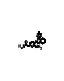 CC(C)(C)[Si](C)(C)Oc1ccccc1N=Nc1ccc(CC(N)=O)nc1N